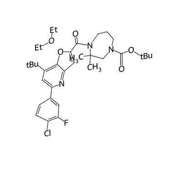 CC(C)(C)OC(=O)N1CCCN(C(=O)c2cc3nc(-c4ccc(Cl)c(F)c4)cc(C(C)(C)C)c3o2)C(C)(C)C1.CCOCC